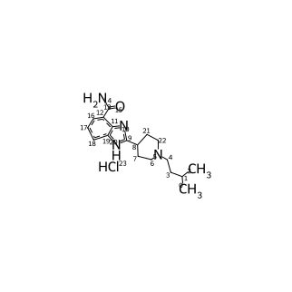 CC(C)CCN1CCC(c2nc3c(C(N)=O)cccc3[nH]2)CC1.Cl